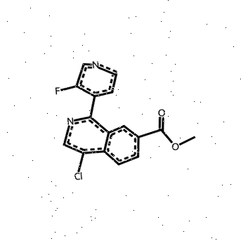 COC(=O)c1ccc2c(Cl)cnc(-c3ccncc3F)c2c1